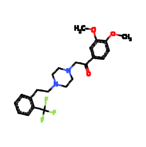 COc1ccc(C(=O)CN2CCN(CCc3ccccc3C(F)(F)F)CC2)cc1OC